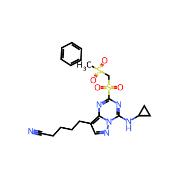 CS(=O)(=O)CS(=O)(=O)c1nc(NC2CC2)n2ncc(CCCCC#N)c2n1.c1ccccc1